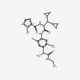 CC(C(=O)NCC(F)(F)F)c1cc(F)c(NC(=O)C(NC(=O)c2ccnn2C(C)C)C(C2CC2)C2CC2)cc1C(F)(F)F